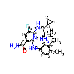 Cc1ccc(Nc2nc(N[C@H](C3CC3)[C@H](C)N)c(F)cc2C(N)=O)cc1C